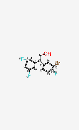 OCC(c1cc(F)cc(F)c1)c1ccc(F)c(Br)c1